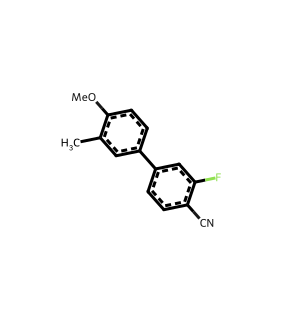 COc1ccc(-c2ccc(C#N)c(F)c2)cc1C